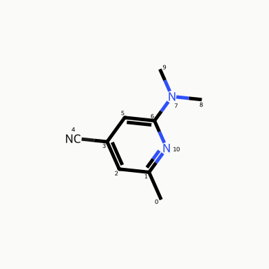 Cc1cc(C#N)cc(N(C)C)n1